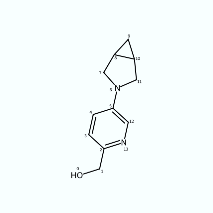 OCc1ccc(N2CC3CC3C2)cn1